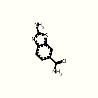 NC(=O)c1ccc2nc(N)sc2c1